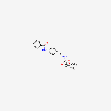 CC(C)(C)OC(=O)NCCc1ccc(NC(=O)c2ccccc2)cc1